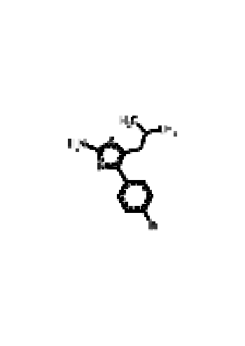 CC(C)Cc1sc(N)nc1-c1ccc(Br)cc1